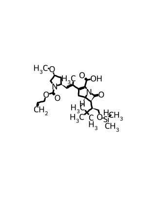 C=CCOC(=O)N1C[C@@H](OC)C[C@H]1C=C(C)C1=C(C(=O)O)N2C(=O)[C@@H]([C@@H](CO[SiH](C)C)C(C)(C)C)[C@H]2C1